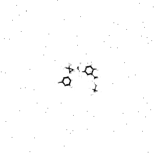 O=C(NCC(F)(F)F)c1cc(NC(=O)[C@@H]2[C@@H](c3cc(Cl)cc(Cl)c3)C2(Br)Br)ccc1Cl